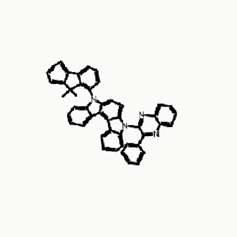 CC1(C)c2ccccc2-c2cccc(-n3c4ccccc4c4c5c6ccccc6n(-c6nc7ccccc7nc6-c6ccccc6)c5ccc43)c21